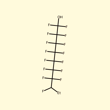 CCC(F)C(F)(F)C(F)(F)C(F)(F)C(F)(F)C(F)(F)C(F)(F)C(O)(F)F